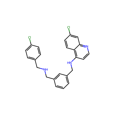 Clc1ccc(CNCc2cccc(CNc3ccnc4cc(Cl)ccc34)c2)cc1